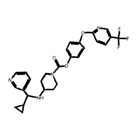 O=C(Oc1ccc(Oc2ccc(C(F)(F)F)cn2)cc1)N1CCC(NC(c2cccnc2)C2CC2)CC1